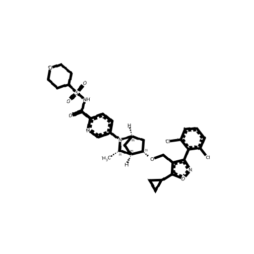 C[C@H]1[C@H]2C[C@H](C[C@@H]2OCc2c(-c3c(Cl)cccc3Cl)noc2C2CC2)N1c1ccc(C(=O)NS(=O)(=O)C2CCOCC2)nc1